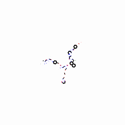 COCOc1ccc(C(=O)Nc2ccc3nc(C(=O)N4C[C@@H](CCl)c5c4cc(OC(=O)N(CCOCCOCCN4C(=O)C=CC4=O)CCN(C)C(=O)OCc4ccc(NC(=O)[C@H](C)NC(=O)[C@H](C(C)C)N(C)C)cc4)c4cccc(C)c54)cn3c2)cc1